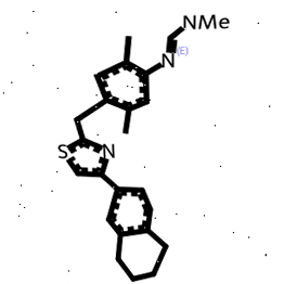 CN/C=N/c1cc(C)c(Cc2nc(-c3ccc4c(c3)CCCC4)cs2)cc1C